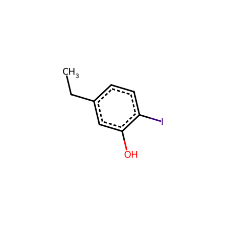 CCc1ccc(I)c(O)c1